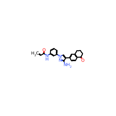 C=CC(=O)Nc1cccc(-n2cc(-c3ccc4c(c3)CCCC4=O)c(N)n2)c1